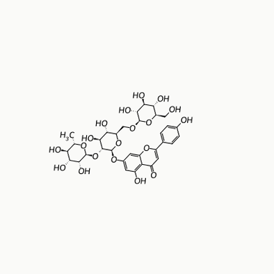 C[C@@H]1O[C@@H](O[C@H]2[C@H](Oc3cc(O)c4c(=O)cc(-c5ccc(O)cc5)oc4c3)O[C@H](CO[C@@H]3O[C@H](CO)[C@@H](O)[C@H](O)[C@H]3O)[C@@H](O)[C@@H]2O)[C@H](O)[C@H](O)[C@H]1O